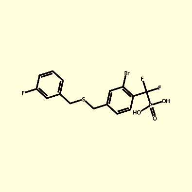 O=P(O)(O)C(F)(F)c1ccc(CSCc2cccc(F)c2)cc1Br